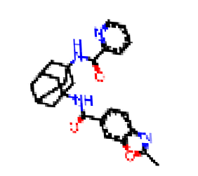 Cc1nc2ccc(C(=O)NC34CC5CC(C3)CC(NC(=O)c3ccccn3)(C5)C4)cc2o1